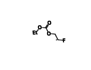 CCOC(=O)OC[CH]F